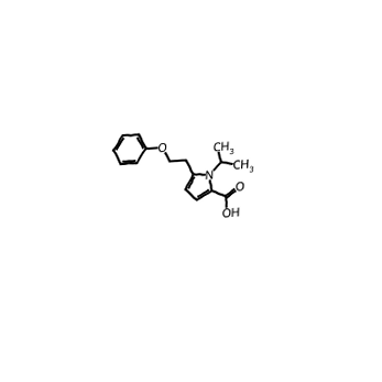 CC(C)n1c(CCOc2ccccc2)ccc1C(=O)O